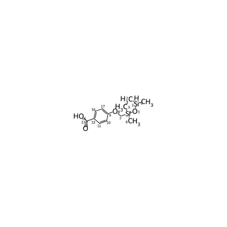 C[SiH](C)O[Si](C)(C)COc1ccc(C(=O)O)cc1